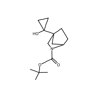 CC(C)(C)OC(=O)N1CC2(C3(O)CC3)CCC1C2